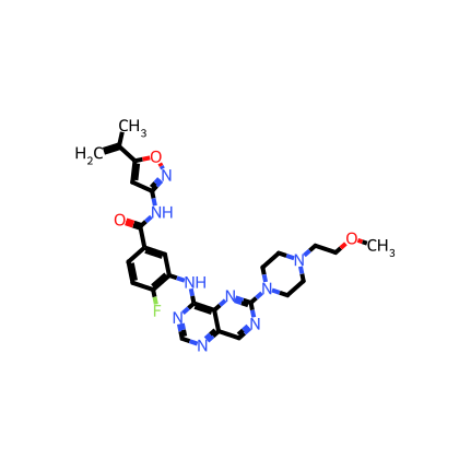 C=C(C)c1cc(NC(=O)c2ccc(F)c(Nc3ncnc4cnc(N5CCN(CCOC)CC5)nc34)c2)no1